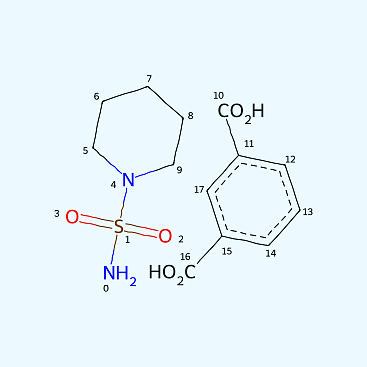 NS(=O)(=O)N1CCCCC1.O=C(O)c1cccc(C(=O)O)c1